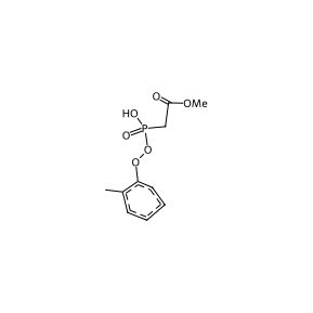 COC(=O)CP(=O)(O)OOc1ccccc1C